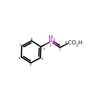 O=C(O)/C=[PH2]/c1ccccc1